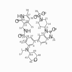 CCN(c1cc(-c2ccc3c(c2)n(C2CCN(S(C)(=O)=O)CC2)c(=O)n3C)cc(C(=O)NCc2c(C)cc(C)[nH]c2=O)c1C)C1CCOCC1